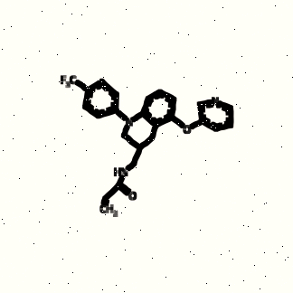 C=CC(=O)NCC1Cc2c(Oc3cccnc3)cccc2N(c2ccc(C(F)(F)F)cc2)C1